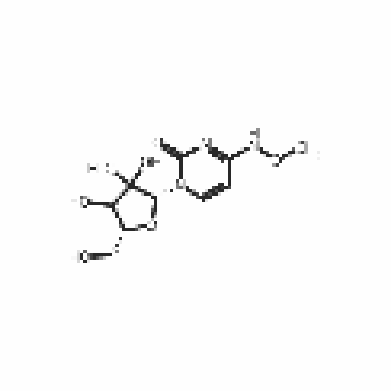 CONc1ccn([C@@H]2O[C@H](CO)C(O)C2(C)O)c(=O)n1